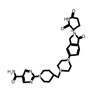 NC(=O)c1cnc(N2CCC(CN3CCN(c4ccc5c(c4)CN([C@H]4CCC(=O)NC4=O)C5=O)CC3)CC2)nc1